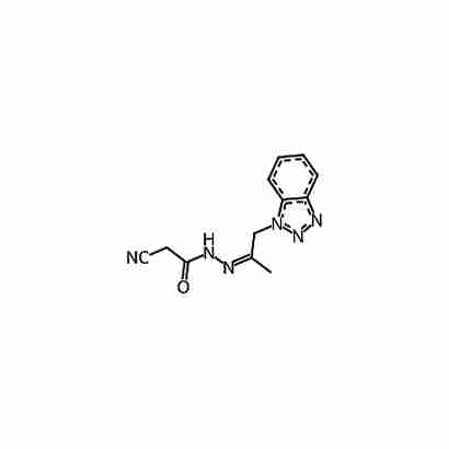 C/C(Cn1nnc2ccccc21)=N/NC(=O)CC#N